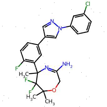 CC1(C)OCC(N)=NC(C)(c2cc(-c3cnn(-c4cccc(Cl)c4)c3)ccc2F)C1(F)F